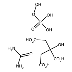 NC(N)=O.O=C(O)CC(O)(CC(=O)O)C(=O)O.O=P(O)(O)OO